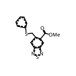 COC(=O)c1cc2nsnc2cc1CSc1ccccc1